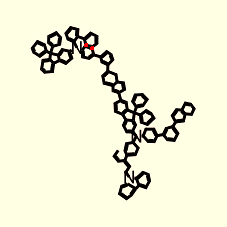 C/C=C\C(=C/Cn1c2ccccc2c2ccccc21)C1=CCC(N(c2ccc3c(c2)C(c2ccccc2)(c2ccccc2)c2cc(C4=CC5=CC=C(c6cccc(-c7ccc(N(c8ccc9c(c8)C(c8ccccc8)(c8ccccc8)c8ccccc8-9)c8ccccc8-c8ccccc8)cc7)c6)CC5C=C4)ccc2-3)C2C=CC(c3cccc(-c4ccc5c(c4)CCC=C5)c3)=CC2)C=C1